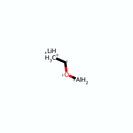 CC[O][AlH2].[LiH]